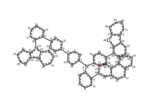 c1ccc(N(c2ccc(-c3ccc(-c4ccccc4-n4c5ccccc5c5ccccc54)cc3)cc2)c2ccc(-c3cccc4c3oc3ccccc34)cc2)c(-c2ccc3c(ccc4ccccc43)c2)c1